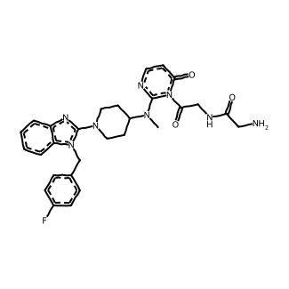 CN(c1nccc(=O)n1C(=O)CNC(=O)CN)C1CCN(c2nc3ccccc3n2Cc2ccc(F)cc2)CC1